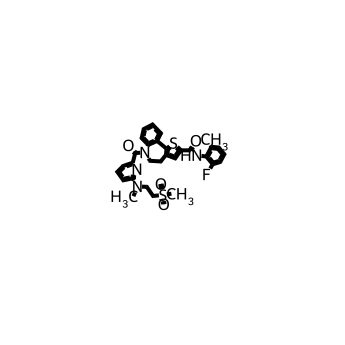 Cc1cccc(F)c1NC(=O)c1cc2c(s1)-c1ccccc1N(C(=O)c1cccc(N(C)CCS(C)(=O)=O)n1)CC2